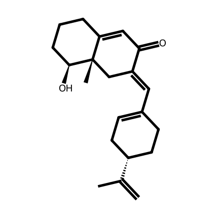 C=C(C)[C@@H]1CC=C(C=C2C[C@@]3(C)C(=CC2=O)CCC[C@@H]3O)CC1